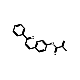 C=C(C)C(=O)Oc1ccc(/C=C\C(=O)c2ccccc2)cc1